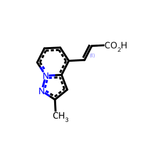 Cc1cc2c(/C=C/C(=O)O)cccn2n1